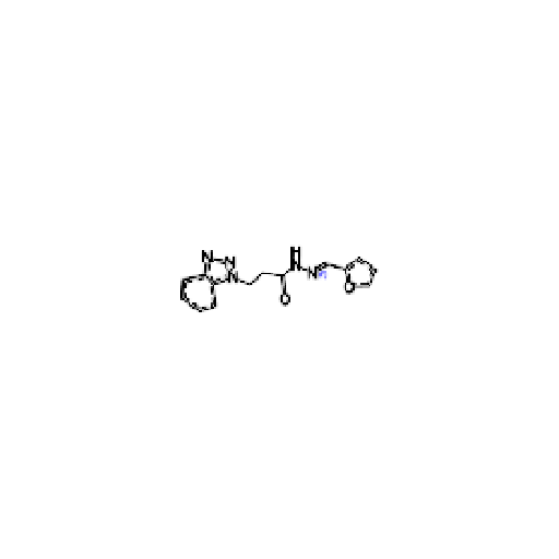 O=C(CCn1nnc2ccccc21)N/N=C/c1ccco1